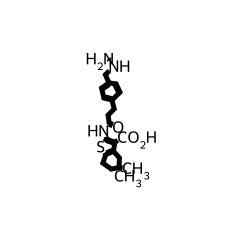 CC1(C)CCc2sc(NC(=O)CCc3ccc(CNN)cc3)c(C(=O)O)c2C1